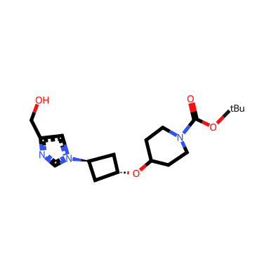 CC(C)(C)OC(=O)N1CCC(O[C@H]2C[C@H](n3cnc(CO)c3)C2)CC1